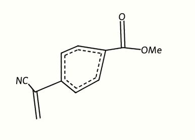 C=C(C#N)c1ccc(C(=O)OC)cc1